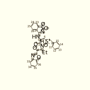 CC[C@H](NC(=O)[C@H](C[S+]([O-])Cc1ccccc1)NC1=NS(=O)(=O)c2ccccc21)C(=O)c1nc2ccccc2o1